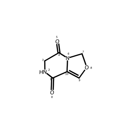 O=C1NCC(=O)N2COC=C12